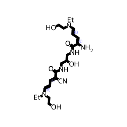 CCN(/C=C/C=C(/N)C(=O)NCC(O)CNC(=O)/C(C#N)=C/C=C/N(CC)CCO)CCO